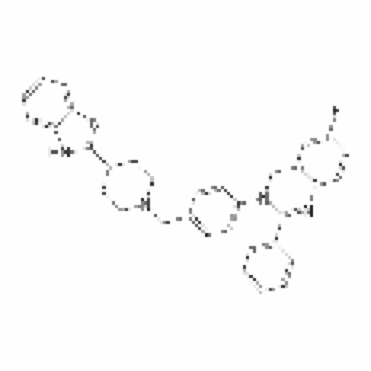 Fc1ccc2c(c1)CN(c1ccc(CN3CCC(c4nc5ccccc5[nH]4)CC3)cc1)C(c1ccccc1)=N2